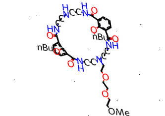 CCCCOc1c2cccc1C(=O)NCCN(CCOCCOCCOC)CCNC(=O)c1cccc(c1OCCCC)C(=O)NCCNCCNC2=O